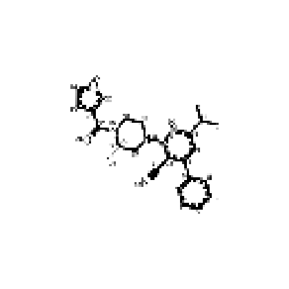 CC(C)c1cc(-c2ccccc2)c(C#N)c(N2CCN(C(=O)c3ccoc3)[C@@H](C)C2)n1